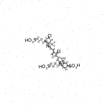 CC1(C)C2=CC(Cl)=CN(CCCCS(=O)(=O)O)C2=N/C1=C/C=C1\CCC(/C=C/C2=[N+](CCCCS(=O)(=O)O)c3ccc(S(=O)(=O)O)cc3C2(C)C)=C1Cl